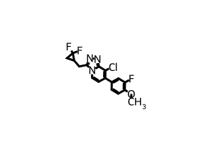 COc1ccc(-c2ccn3c(CC4CC4(F)F)nnc3c2Cl)cc1F